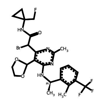 Cc1nc(N[C@H](C)c2cccc(C(F)(F)F)c2C)c(C2OCCO2)c(C(Br)C(=O)NC2(CF)CC2)n1